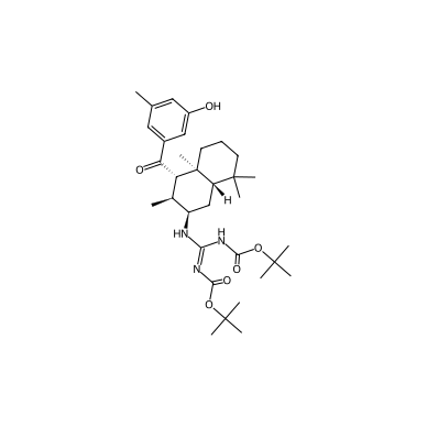 Cc1cc(O)cc(C(=O)[C@H]2[C@H](C)[C@H](N/C(=N/C(=O)OC(C)(C)C)NC(=O)OC(C)(C)C)C[C@H]3C(C)(C)CCC[C@]23C)c1